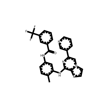 Cc1ccc(NC(=O)c2cccc(C(F)(F)F)c2)cc1Nc1nc(-c2cccnc2)cn2ccnc12